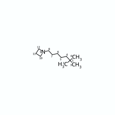 CC(C)(C)CCCCCN1CCC1